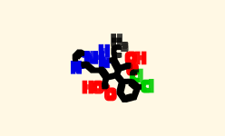 CC1=C(C(=O)O)C(c2cccc(Cl)c2Cl)C(C(=O)O)=C(Cc2ncc[nH]2)N1